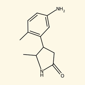 Cc1ccc(N)cc1C1CC(=O)NC1C